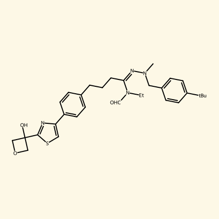 CCN(C=O)/C(CCCc1ccc(-c2csc(C3(O)COC3)n2)cc1)=N\N(C)Cc1ccc(C(C)(C)C)cc1